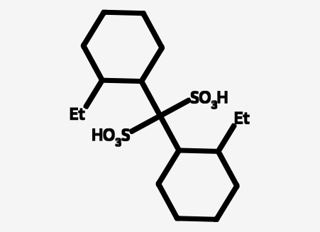 CCC1CCCCC1C(C1CCCCC1CC)(S(=O)(=O)O)S(=O)(=O)O